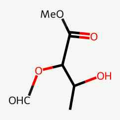 COC(=O)C(OC=O)C(C)O